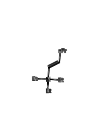 CCCC=C[Si](CC)(CC)CC